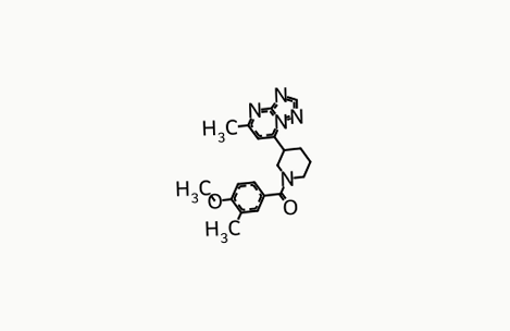 COc1ccc(C(=O)N2CCCC(c3cc(C)nc4ncnn34)C2)cc1C